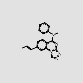 CC=Cc1ccc2c(N(C)c3ccccc3)nc3nncn3c2c1